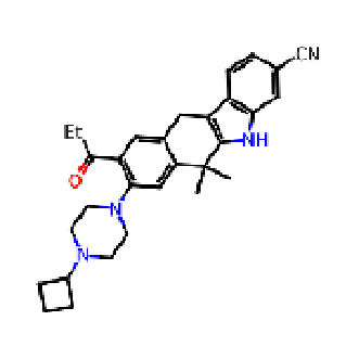 CCC(=O)c1cc2c(cc1N1CCN(C3CCC3)CC1)C(C)(C)c1[nH]c3cc(C#N)ccc3c1C2